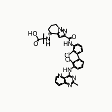 Cc1nc(Nc2cccc(-c3cccc(NC(=O)c4cc5n(n4)CCC[C@H]5NC(C)(C)C(=O)O)c3Cl)c2Cl)c2ncccc2n1